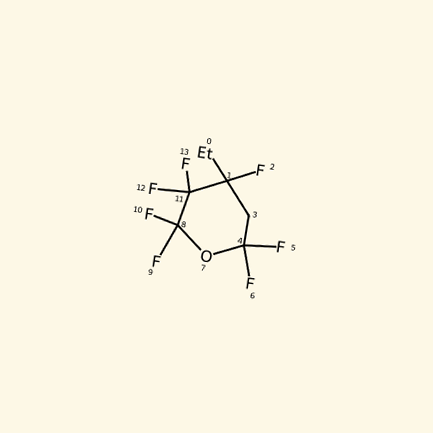 CCC1(F)CC(F)(F)OC(F)(F)C1(F)F